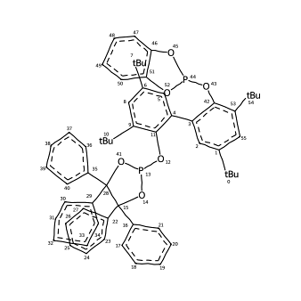 CC(C)(C)c1cc(-c2cc(C(C)(C)C)cc(C(C)(C)C)c2OP2OC(c3ccccc3)(c3ccccc3)C(c3ccccc3)(c3ccccc3)O2)c(OP2Oc3ccccc3O2)c(C(C)(C)C)c1